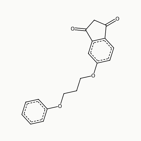 O=C1CC(=O)c2cc(OCCCOc3ccccc3)ccc21